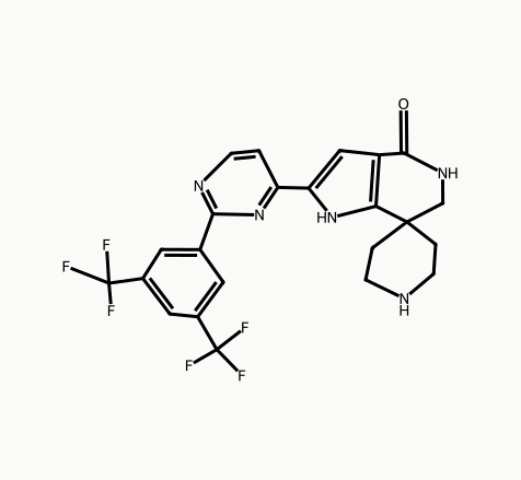 O=C1NCC2(CCNCC2)c2[nH]c(-c3ccnc(-c4cc(C(F)(F)F)cc(C(F)(F)F)c4)n3)cc21